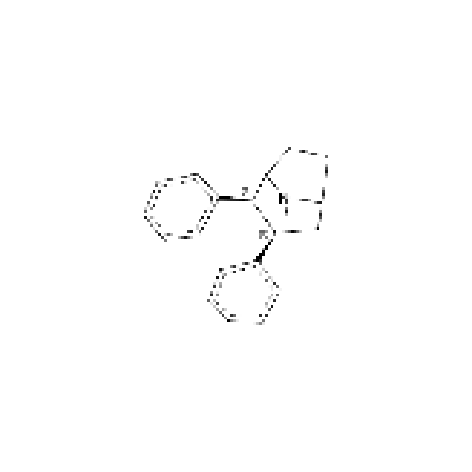 CN1C2CCC1[C@H](c1ccccc1)[C@H](c1ccccc1)C2